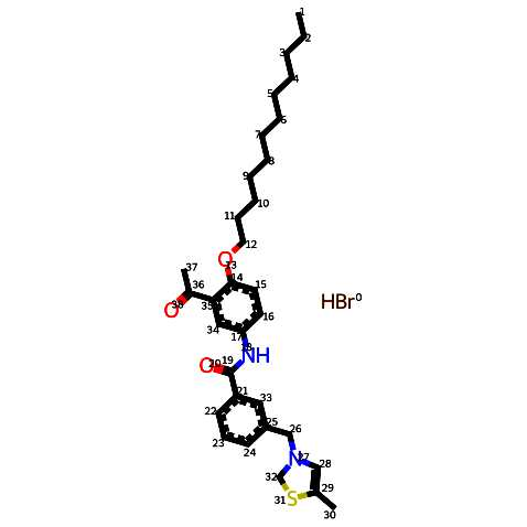 Br.CCCCCCCCCCCCOc1ccc(NC(=O)c2cccc(CN3C=C(C)SC3)c2)cc1C(C)=O